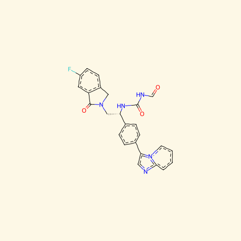 O=CNC(=O)N[C@@H](CN1Cc2ccc(F)cc2C1=O)c1ccc(-c2cnc3ccccn23)cc1